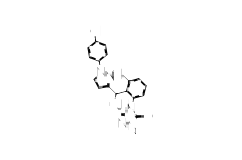 Cn1nnn(-c2cccc(Cl)c2C(O)c2ccn(-c3ccc(Cl)cc3)n2)c1=O